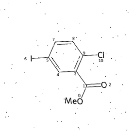 COC(=O)c1cc(I)ccc1Cl